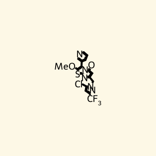 COc1sc2nc(Cn3nc(C(F)(F)F)cc3Cl)cc(=O)n2c1-c1cccnc1